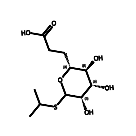 CC(C)SC1O[C@H](CCC(=O)O)[C@@H](O)[C@H](O)[C@@H]1O